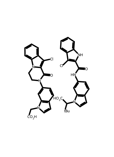 CC(C)(C)C(C(=O)O)n1ccc2ccc(NC(=O)c3[nH]c4ccccc4c3Cl)cc21.O=C(O)Cn1ccc2ccc(N3CCn4c(c(Cl)c5ccccc54)C3=O)cc21